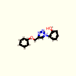 Oc1ccccc1-n1cc(COc2ccccc2)nn1